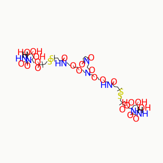 CC(C)(CCC(=O)NCCOCCOCCN(CCOCCOCCNC(=O)CCC(C)(C)SSCCC(C)(C)C(=O)OCC1[C@H](O)[C@@H](O)[C@@H](O)[C@@H]2NC(=O)C(=O)N12)C(=O)CCN1C(=O)CCC1=O)SSCCC(C)(C)C(=O)OCC1[C@@H](O)[C@H](O)[C@H](O)[C@H]2NC(=O)C(=O)N12